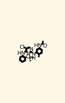 CC(=O)Nc1ccc(C)c(Nc2ncc(Cl)c(Nc3ccccc3OP(C)C)n2)c1